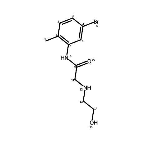 Cc1ccc(Br)cc1NC(=O)CNCCO